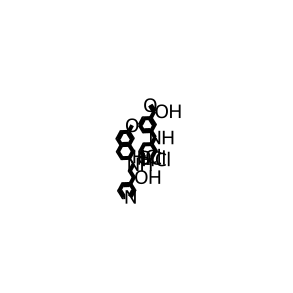 Cl.Cl.Cl.O=C(O)c1cc(NC2CCOCC2)cc(Oc2ccc3c(c2)C[C@@H](NC[C@H](O)c2cccnc2)CC3)c1